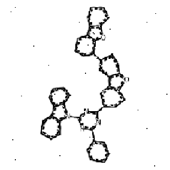 c1ccc(-c2nc(-c3ccc4oc5ccc(-c6cccc7c6oc6ccccc67)cc5c4c3)nc(-n3c4ccccc4c4ccccc43)n2)cc1